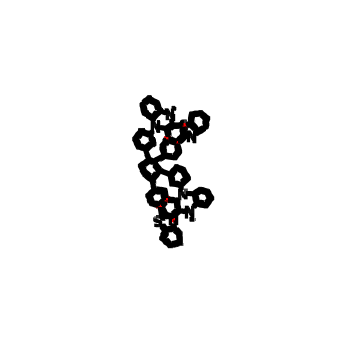 CN1c2ccccc2N(c2cccc(-c3ccc(-c4ccc(-c5nc6ccccc6s5)cc4)c(-c4cccc(N5c6ccccc6N(C)c6ccccc65)c4)c3-c3ccc(-c4nc5ccccc5s4)cc3)c2)c2ccccc21